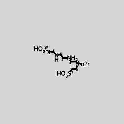 CCCN(CCNCCNCCC(=O)O)CCS(=O)(=O)O